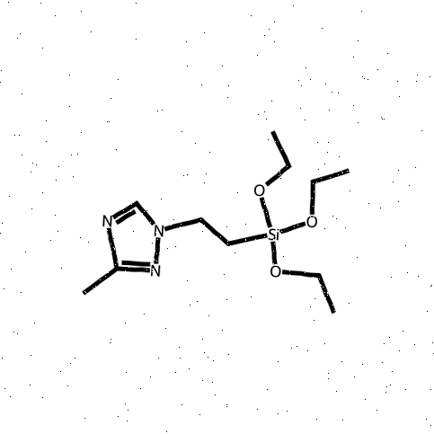 CCO[Si](CCn1cnc(C)n1)(OCC)OCC